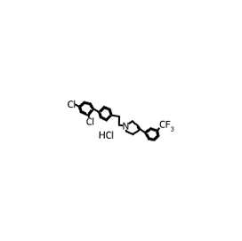 Cl.FC(F)(F)c1cccc(C2=CCN(CCc3ccc(-c4ccc(Cl)cc4Cl)cc3)CC2)c1